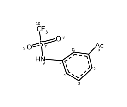 CC(=O)c1cccc(NS(=O)(=O)C(F)(F)F)c1